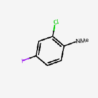 CNc1ccc(I)cc1Cl